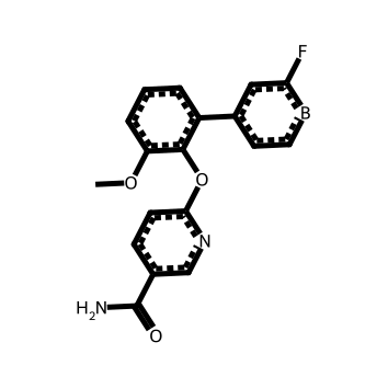 COc1cccc(-c2ccbc(F)c2)c1Oc1ccc(C(N)=O)cn1